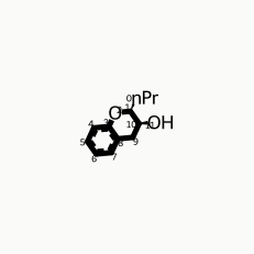 CCC[C@H]1Oc2ccccc2C[C@@H]1O